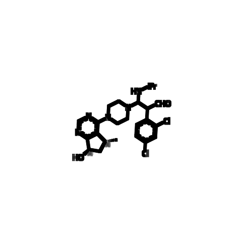 CC(C)NC(C(C=O)c1ccc(Cl)cc1Cl)N1CCN(c2ncnc3c2[C@H](C)C[C@H]3O)CC1